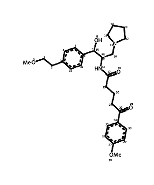 COCCc1ccc([C@@H](O)[C@@H](CN2CCCC2)NC(=O)CCCC(=O)c2ccc(OC)cc2)cc1